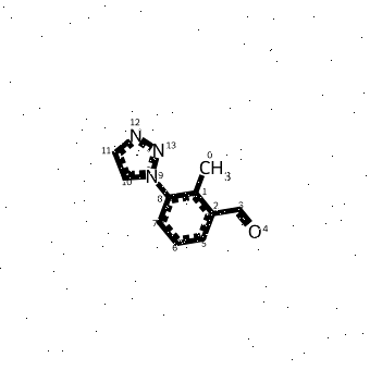 Cc1c(C=O)cccc1-n1ccnn1